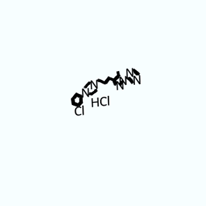 Cc1c(C=CCN2CCN(c3cccc(Cl)c3)CC2)cnn1-c1cnccn1.Cl